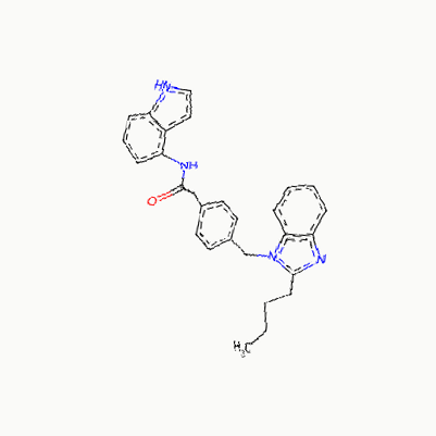 CCCCc1nc2ccccc2n1Cc1ccc(C(=O)Nc2cccc3[nH]ccc23)cc1